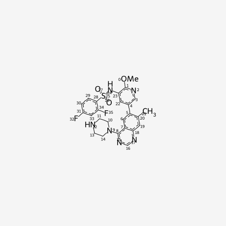 COc1ncc(-c2cc3c(N4CCNCC4)ncnc3cc2C)cc1NS(=O)(=O)c1ccc(F)cc1F